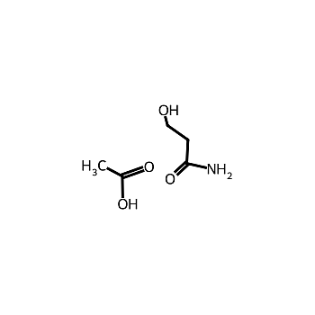 CC(=O)O.NC(=O)CCO